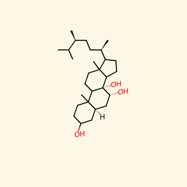 CC(C)[C@@H](C)CC[C@@H](C)C1CCC2C1(C)CCC1C3(C)CCC(O)C[C@@H]3C[C@@H](O)[C@]21O